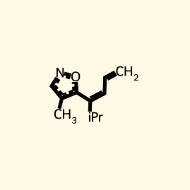 C=C/C=C(\c1oncc1C)C(C)C